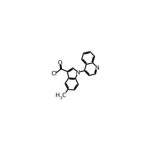 Cc1ccc2c(c1)c(C(=O)Cl)cn2-c1ccnc2ccccc12